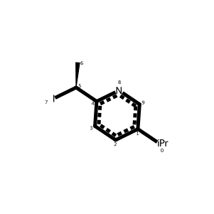 CC(C)c1ccc([C@H](C)I)nc1